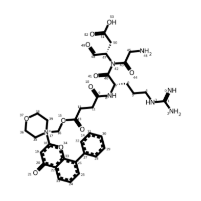 N=C(N)NCCC[C@H](NC(=O)CCC(=O)OC[N+]1(c2cc(=O)c3cccc(-c4ccccc4)c3o2)CCOCC1)C(=O)N(C(=O)CN)[C@H]([C]=O)CC(=O)O